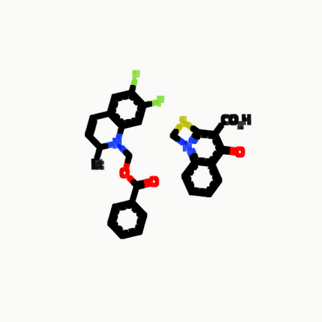 CCC1C=Cc2cc(F)c(F)cc2N1COC(=O)c1ccccc1.O=C(O)c1c2n(c3ccccc3c1=O)CS2